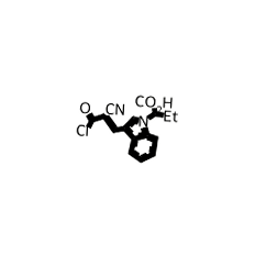 CCC(C(=O)O)n1cc(/C=C(\C#N)C(=O)Cl)c2ccccc21